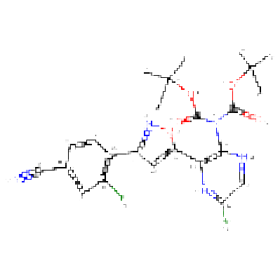 CC(C)(C)OC(=O)N(C(=O)OC(C)(C)C)c1ncc(Br)nc1-c1cc(-c2ccc(C#N)cc2F)no1